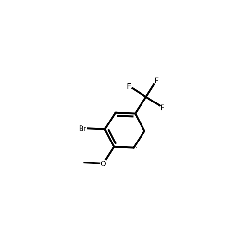 COC1=C(Br)C=C(C(F)(F)F)C[CH]1